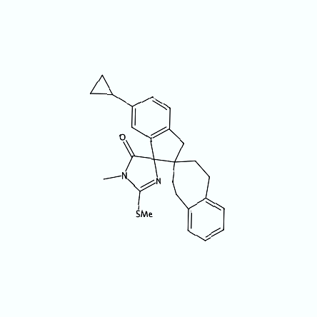 CSC1=NC2(C(=O)N1C)c1cc(C3CC3)ccc1CC21CCc2ccccc2CC1